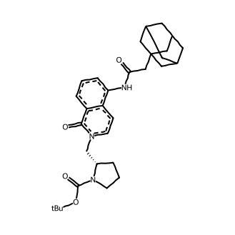 CC(C)(C)OC(=O)N1CCC[C@H]1Cn1ccc2c(NC(=O)CC34CC5CC(CC(C5)C3)C4)cccc2c1=O